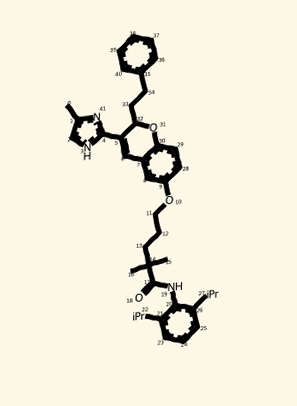 Cc1c[nH]c(C2=Cc3cc(OCCCC(C)(C)C(=O)Nc4c(C(C)C)cccc4C(C)C)ccc3OC2CCc2ccccc2)n1